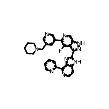 Fc1c(-c2cncc(CN3CCCCC3)c2)ncc2[nH]nc(-c3nc4c(-c5ccccn5)nccc4[nH]3)c12